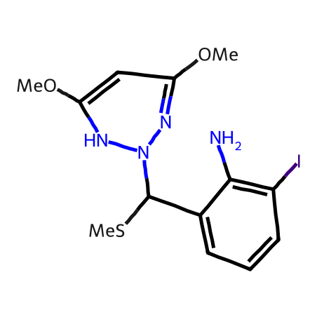 COC1=CC(OC)=NN(C(SC)c2cccc(I)c2N)N1